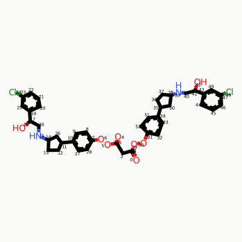 O=C(CC(=O)OOc1ccc(C2CCC(NCC(O)c3cccc(Cl)c3)C2)cc1)OOc1ccc(C2CCC(NCC(O)c3cccc(Cl)c3)C2)cc1